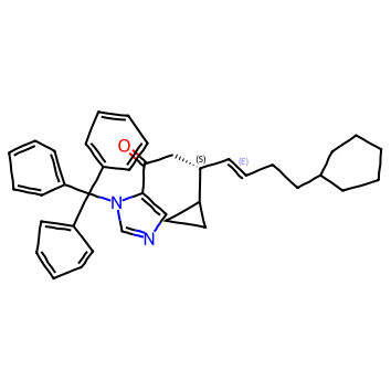 O=C(C[C@H](/C=C/CCC1CCCCC1)C1CC1)c1cncn1C(c1ccccc1)(c1ccccc1)c1ccccc1